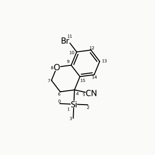 C[Si](C)(C)C1(C#N)CCOc2c(Br)cccc21